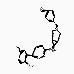 Fc1ccc(CN2CC3C(C2)C3Nc2ccc(-c3cc(F)ccc3Cl)nn2)cc1